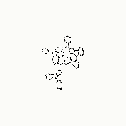 c1ccc(N(c2ccc3c(c2)c2ccccc2n3-c2ccccc2)c2ccc3c4c2ccc2c(N(c5ccccc5)c5ccc6c(c5)c5ccccc5n6-c5ccccc5)ccc(c24)n3-c2ccccc2)cc1